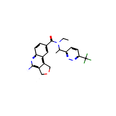 CCN(C(=O)c1ccc2nc(N)c3c(c2c1)CO[C@@H]3C)C(C)c1ccc(C(F)(F)F)nn1